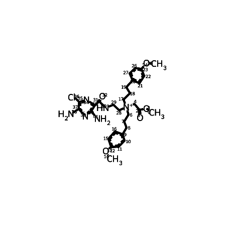 COC(=O)C[N+](CCCc1ccc(OC)cc1)(CCCc1ccc(OC)cc1)CCNC(=O)c1nc(Cl)c(N)nc1N